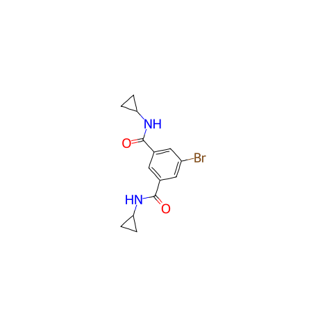 O=C(NC1CC1)c1cc(Br)cc(C(=O)NC2CC2)c1